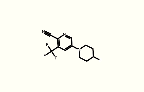 N#Cc1ncc(N2CCC(F)CC2)cc1C(F)(F)F